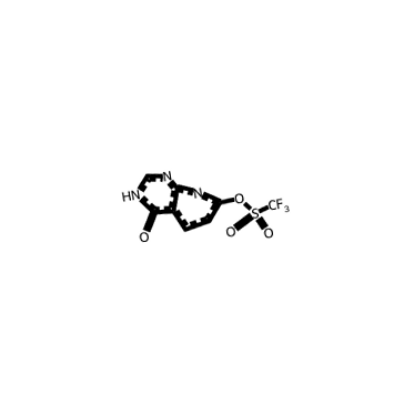 O=c1[nH]cnc2nc(OS(=O)(=O)C(F)(F)F)ccc12